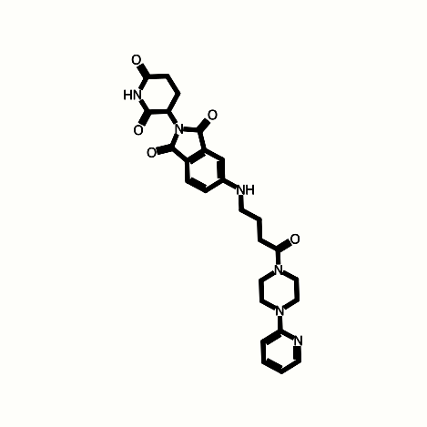 O=C1CCC(N2C(=O)c3ccc(NCCCC(=O)N4CCN(c5ccccn5)CC4)cc3C2=O)C(=O)N1